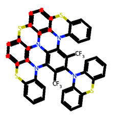 FC(F)(F)c1c(N2c3ccccc3Sc3ccccc32)c(N2c3ccccc3Sc3ccccc32)c(N2c3ccccc3Sc3ccccc32)c(C(F)(F)F)c1N1c2ccccc2Sc2ccccc21